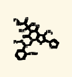 COc1ccccc1[C@H](Cn1c(=O)n(C(C)(C)C(=O)NC(C)C)c(=O)c2c(C)c(-n3cccn3)sc21)OC(C)C